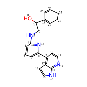 OC(CNc1cccc(-c2ccnc3[nH]ccc23)n1)C1=CCCC=C1